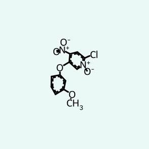 COc1cccc(Oc2c[n+]([O-])c(Cl)cc2[N+](=O)[O-])c1